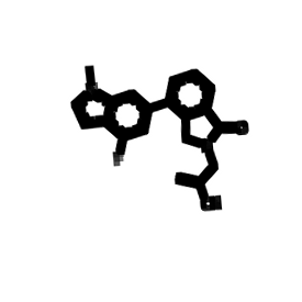 C=C(C#N)CN1Cc2c(cccc2-c2cc(F)c3ccn(C)c3c2)C1=O